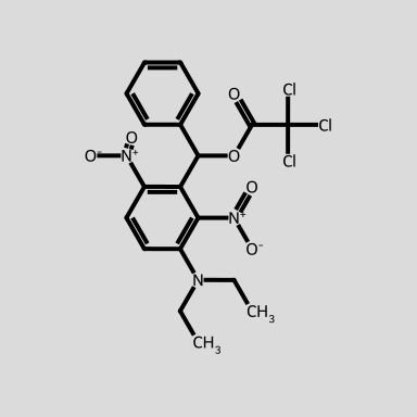 CCN(CC)c1ccc([N+](=O)[O-])c(C(OC(=O)C(Cl)(Cl)Cl)c2ccccc2)c1[N+](=O)[O-]